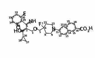 N=C(/C(COCC1(F)CCN(c2ccc3cc(C(=O)O)ccc3c2)CC1)=C(\O)C1CC1)c1c(F)cccc1Cl